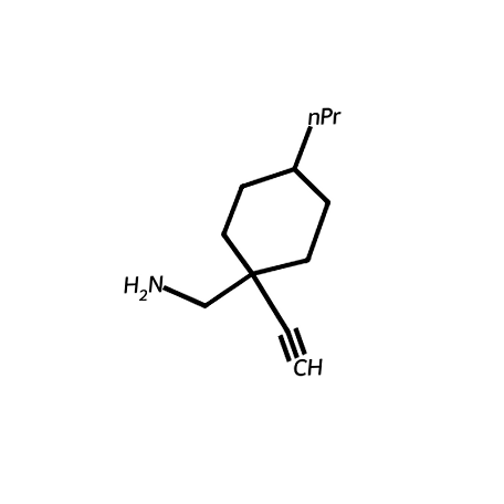 C#CC1(CN)CCC(CCC)CC1